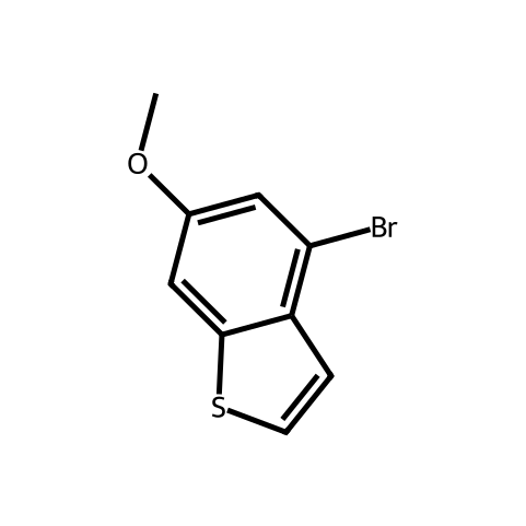 COc1cc(Br)c2ccsc2c1